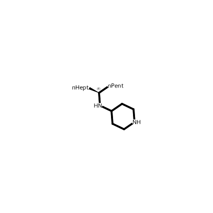 CCCCCCC[C@@H](CCCCC)NC1CCNCC1